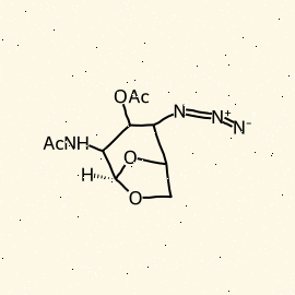 CC(=O)NC1C(OC(C)=O)C(N=[N+]=[N-])C2CO[C@@H]1O2